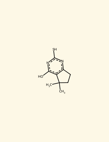 CC1(C)CCc2nc(S)nc(O)c21